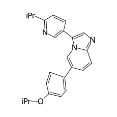 CC(C)Oc1ccc(-c2ccc3ncc(-c4ccc(C(C)C)nc4)n3c2)cc1